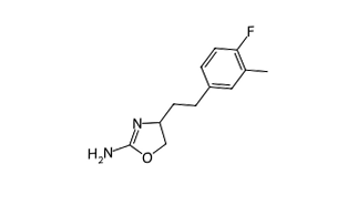 Cc1cc(CCC2COC(N)=N2)ccc1F